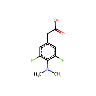 CN(C)c1c(F)cc(CC(=O)O)cc1F